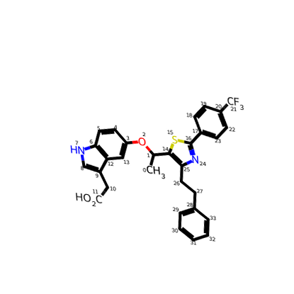 CC(Oc1ccc2[nH]cc(CC(=O)O)c2c1)c1sc(-c2ccc(C(F)(F)F)cc2)nc1CCc1ccccc1